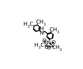 Cc1ccc(N(S(C)(=O)=O)S(C)(=O)=O)cc1CNC1=C[C@@H](C)[C@@H](C)C=C1